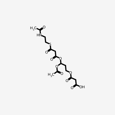 CC(=O)NCCSC(=O)CC(=O)OC(CCOC(=O)CC(=O)O)OC(C)=O